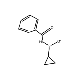 O=C(N[S+]([O-])C1CC1)c1ccccc1